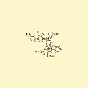 COc1ccc(CN(c2ccncn2)S(=O)(=O)c2cc(C#CCO)c(N[C@H]3CC[C@H](c4cccc(C(F)(F)F)c4)C[C@@H]3N(C)C)cc2F)c(OC)c1